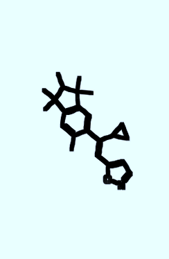 Cc1cc2c(cc1C(=Cc1ccno1)C1CC1)C(C)(C)C(C)C2(C)C